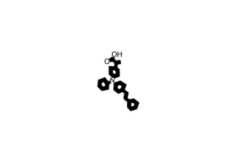 C=C(C(=O)O)c1ccc(N(c2ccccc2)c2ccc(C=Cc3ccccc3)cc2)cc1